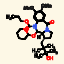 C=CCOC(=O)N1c2cc(OC)c(OC)cc2C(=O)N2CC[C@H](CC(C)(C)[Si](C)(C)O)[C@H]2C1OC1CCCCO1